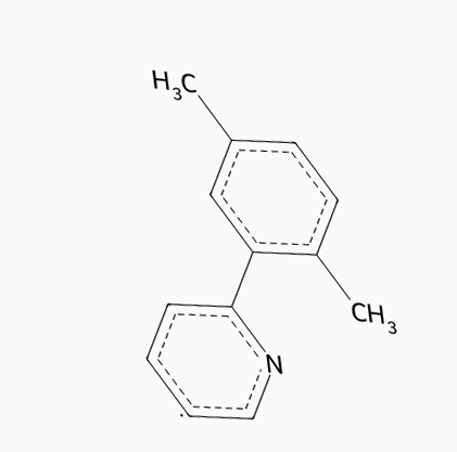 Cc1ccc(C)c(-c2cc[c]cn2)c1